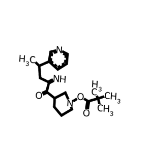 CC(CC(=N)C(=O)C1CCCN(OC(=O)C(C)(C)C)C1)c1cccnc1